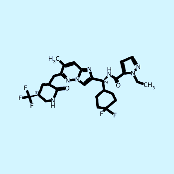 CCn1nccc1C(=O)N[C@H](c1cn2nc(CC3C[C@H](C(F)(F)F)CNC3=O)c(C)cc2n1)C1CCC(F)(F)CC1